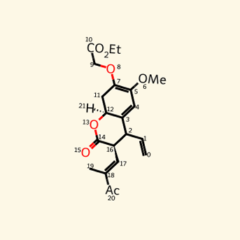 C=CC1C2=CC(OC)=C(OCC(=O)OCC)C[C@@H]2OC(=O)[C@@H]1/C=C(\C)C(C)=O